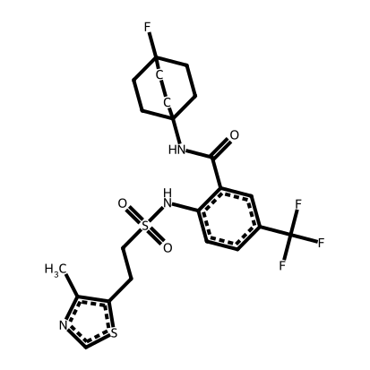 Cc1ncsc1CCS(=O)(=O)Nc1ccc(C(F)(F)F)cc1C(=O)NC12CCC(F)(CC1)CC2